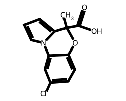 CC1(C(=O)O)Oc2ccc(Cl)cc2-n2cccc21